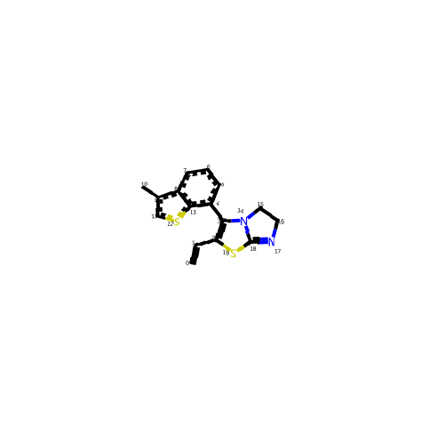 C=CC1=C(c2cccc3c(C)csc23)N2CCN=C2S1